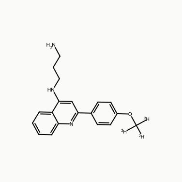 [2H]C([2H])([2H])Oc1ccc(-c2cc(NCCCN)c3ccccc3n2)cc1